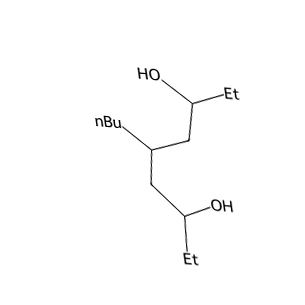 CCCCC(CC(O)CC)CC(O)CC